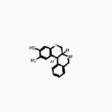 Oc1cc2c(cc1O)[C@@H]1c3ccccc3CN[C@H]1CO2